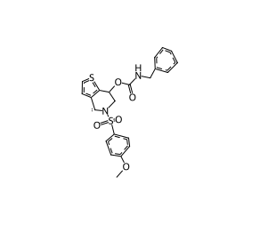 COc1ccc(S(=O)(=O)N2[C]c3ccsc3C(OC(=O)NCc3ccccc3)C2)cc1